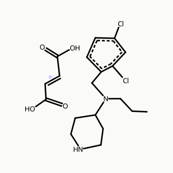 CCCN(Cc1ccc(Cl)cc1Cl)C1CCNCC1.O=C(O)/C=C/C(=O)O